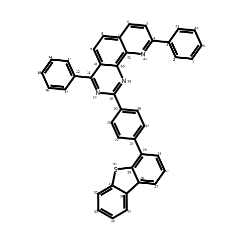 c1ccc(-c2ccc3ccc4c(-c5ccccc5)nc(-c5ccc(-c6cccc7c6sc6ccccc67)cc5)nc4c3n2)cc1